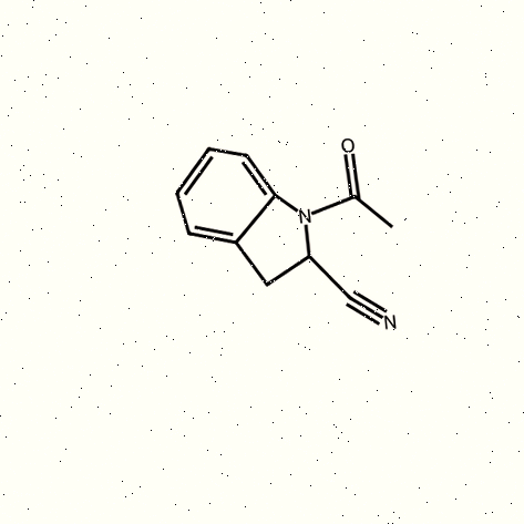 CC(=O)N1c2ccccc2CC1C#N